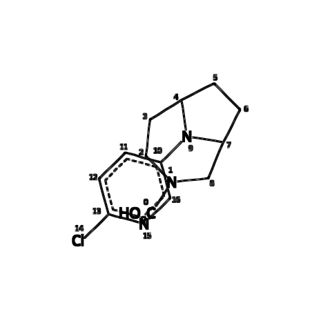 O=C(O)N1CCC2CCC(C1)N2c1ccc(Cl)nc1